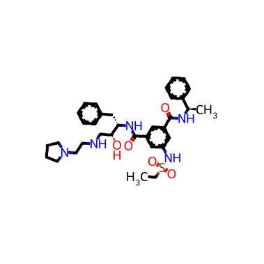 CCS(=O)(=O)Nc1cc(C(=O)N[C@@H](Cc2ccccc2)[C@H](O)CNCCN2CCCC2)cc(C(=O)N[C@H](C)c2ccccc2)c1